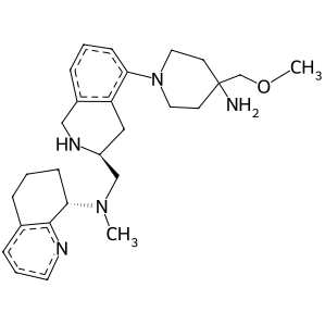 COCC1(N)CCN(c2cccc3c2C[C@@H](CN(C)[C@H]2CCCc4cccnc42)NC3)CC1